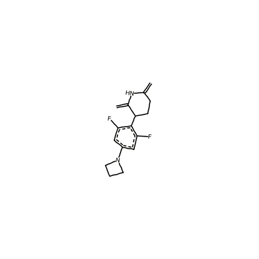 C=C1CCC(c2c(F)cc(N3CCC3)cc2F)C(=C)N1